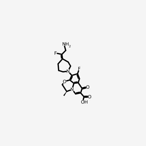 C[C@H]1COc2c(N3CCC/C(=C(\F)CN)CC3)c(F)cc3c(=O)c(C(=O)O)cn1c23